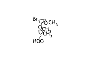 CCc1cc2cc(Br)cc(COc3ccc(CCC(=O)O)c(C)c3C)c2o1